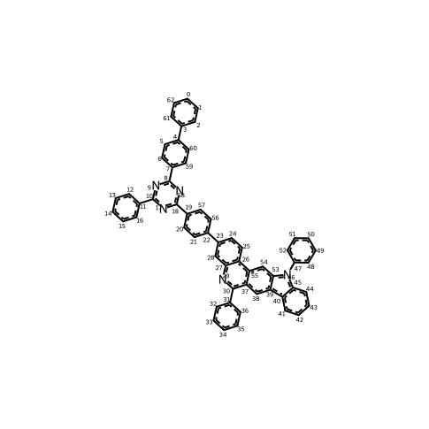 c1ccc(-c2ccc(-c3nc(-c4ccccc4)nc(-c4ccc(-c5ccc6c(c5)nc(-c5ccccc5)c5cc7c8ccccc8n(-c8ccccc8)c7cc56)cc4)n3)cc2)cc1